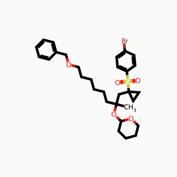 CC(CCCCCCOCc1ccccc1)(CC1(S(=O)(=O)c2ccc(Br)cc2)CC1)OC1CCCCO1